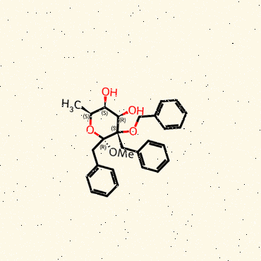 CO[C@]1(Cc2ccccc2)O[C@@H](C)[C@@H](O)[C@@H](O)[C@]1(Cc1ccccc1)OCc1ccccc1